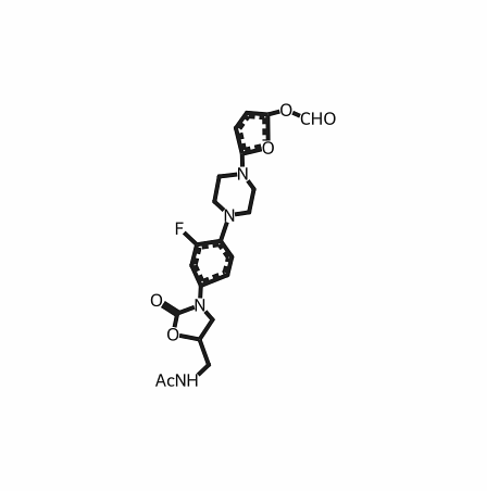 CC(=O)NCC1CN(c2ccc(N3CCN(c4ccc(OC=O)o4)CC3)c(F)c2)C(=O)O1